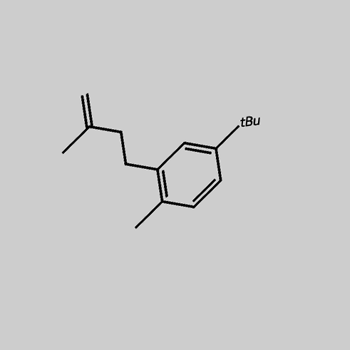 C=C(C)CCc1cc(C(C)(C)C)ccc1C